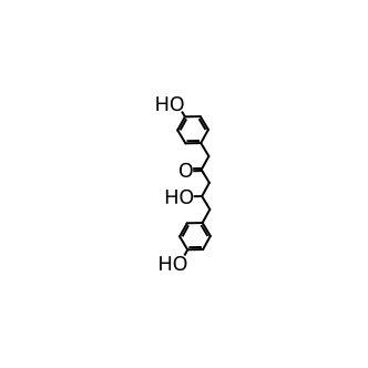 O=C(Cc1ccc(O)cc1)CC(O)Cc1ccc(O)cc1